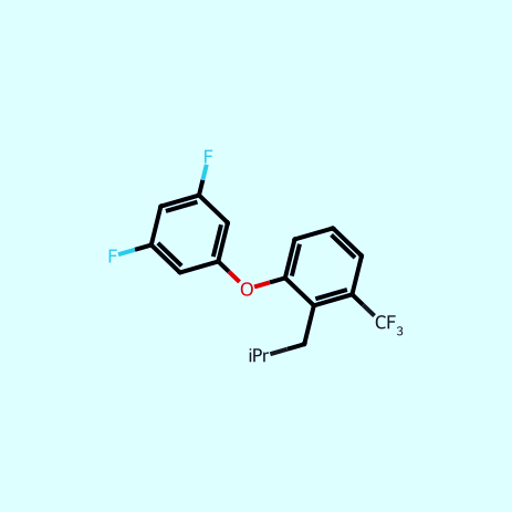 CC(C)Cc1c(Oc2cc(F)cc(F)c2)cccc1C(F)(F)F